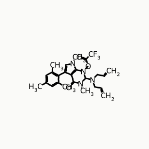 C=CCN(CC=C)C1N(C)C(=O)c2c(-c3c(C)cc(C)cc3C)cn(C)c2N1OC(=O)C(F)(F)F